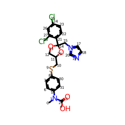 CN(C(=O)O)c1ccc(SCC2COC(Cn3ccnc3)(c3ccc(Cl)cc3Cl)O2)cc1